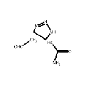 C1CNN=N1.CC=O.NC(=O)S